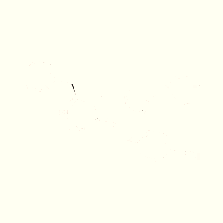 O=C(O)N[C@@H](Cc1ccccc1)C(=O)N[C@@H](Cc1ccc([N+](=O)[O-])cc1)c1csc(-c2ccccc2)n1